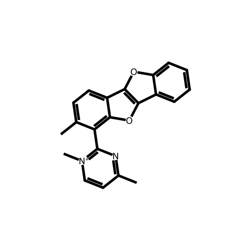 Cc1cc[n+](C)c(-c2c(C)ccc3c2oc2c4ccccc4oc32)n1